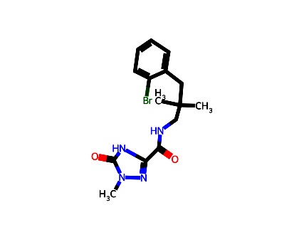 Cn1nc(C(=O)NCC(C)(C)Cc2ccccc2Br)[nH]c1=O